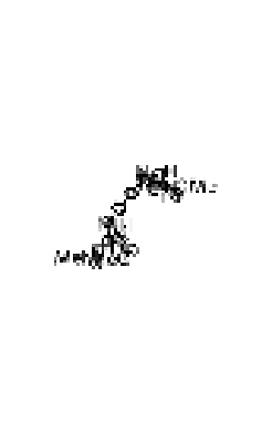 CNC(=O)N1CC2(CC(c3ncc(-c4ccc(-c5ccc(-c6cnc([C@@H]7CCCN7C(=O)[C@@H](NC(=O)OC)C(C)C)[nH]6)cc5)cc4)[nH]3)N(C(=O)C(C)NC(=O)OC)C2)C1